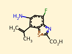 C=C(C)c1c(N)cc(F)c2nc(C(=O)O)sc12